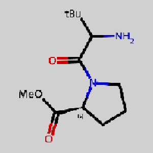 COC(=O)[C@@H]1CCCN1C(=O)C(N)C(C)(C)C